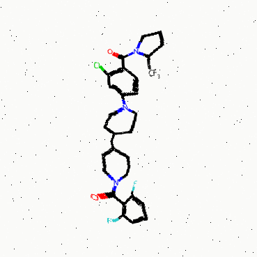 O=C(c1c(F)cccc1F)N1CCC(C2CCN(c3ccc(C(=O)N4CCCC4C(F)(F)F)c(Cl)c3)CC2)CC1